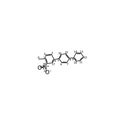 Cc1ccc(-c2ccc(-c3ccccc3)cc2)cc1[N+](=O)[O-]